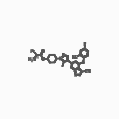 Cc1c(-c2cc(Sc3ccc(F)cc3C#N)c3c(C#N)cnn3c2)cnn1C1CCC(OC(=O)[C@@H](N)C(C)C)CC1